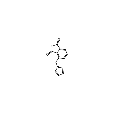 O=C1OC(=O)c2c(Cn3cccc3)cccc21